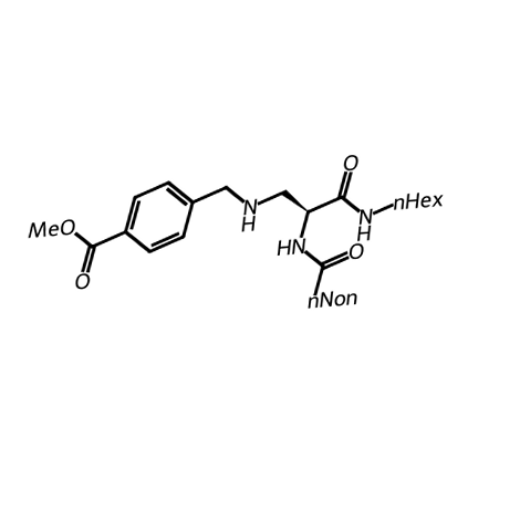 CCCCCCCCCC(=O)N[C@@H](CNCc1ccc(C(=O)OC)cc1)C(=O)NCCCCCC